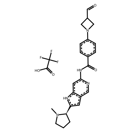 CN1CCC[C@@H]1c1cc2cnc(NC(=O)c3ccc(N4CC(C=O)C4)cc3)cc2[nH]1.O=C(O)C(F)(F)F